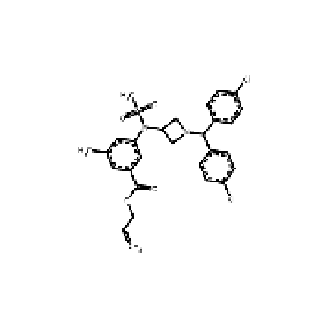 C=CCOC(=O)c1cc(C)cc(N(C2CN(C(c3ccc(Cl)cc3)c3ccc(Cl)cc3)C2)S(C)(=O)=O)c1